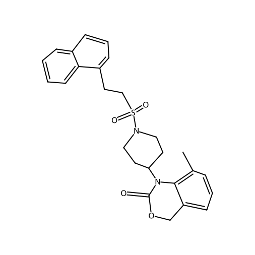 Cc1cccc2c1N(C1CCN(S(=O)(=O)CCc3cccc4ccccc34)CC1)C(=O)OC2